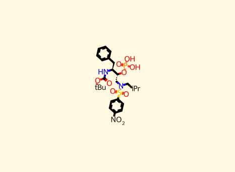 CC(C)CN(C[C@@H](OP(=O)(O)O)[C@H](Cc1ccccc1)NC(=O)OC(C)(C)C)S(=O)(=O)c1ccc([N+](=O)[O-])cc1